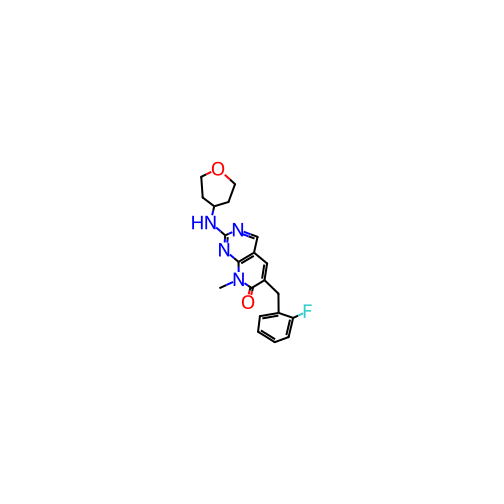 Cn1c(=O)c(Cc2ccccc2F)cc2cnc(NC3CCOCC3)nc21